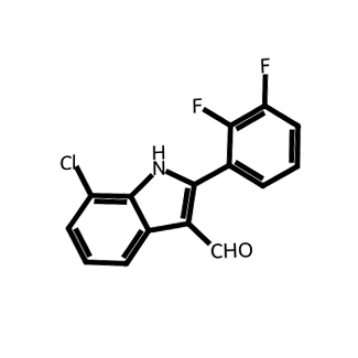 O=Cc1c(-c2cccc(F)c2F)[nH]c2c(Cl)cccc12